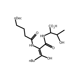 CCCCCCCCCCCCCC(=O)N/C(C(=O)NC(C(=O)O)C(C)O)=C(/O)CCCC